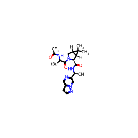 CC(C)(C)C(NC(=O)C(F)(F)F)C(=O)N1C[C@H]2[C@@H]([C@H]1C(=O)N[C@@H](C#N)c1cn3nccc3cn1)C2(C)C